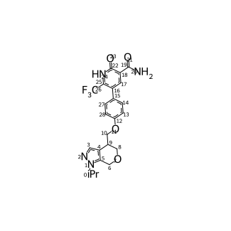 CC(C)n1ncc2c1COCC2COc1ccc(-c2cc(C(N)=O)c(=O)[nH]c2C(F)(F)F)cc1